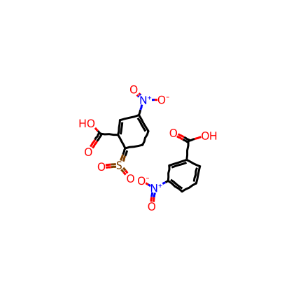 O=C(O)C1=CC([N+](=O)[O-])=CCC1=S(=O)=O.O=C(O)c1cccc([N+](=O)[O-])c1